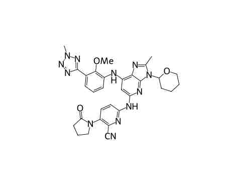 COc1c(Nc2cc(Nc3ccc(N4CCCC4=O)c(C#N)n3)nc3c2nc(C)n3C2CCCCO2)cccc1-c1nnn(C)n1